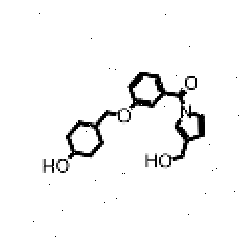 O=C(c1cccc(OCC2CCC(O)CC2)c1)n1ccc(CO)c1